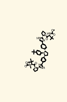 COC(=O)N[C@H](C(=O)N1CCC[C@H]1c1nc(-c2ccc([C@@H]3CC[C@@H](c4ccc(-c5c[nH]c([C@@H]6CCCN6C(=O)[C@@H](N(C)C(=O)O)C(C)(C)C)n5)cc4)N3c3ccc(C(C)(C)C)cc3)cc2)c[nH]1)C(C)(C)C